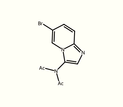 CC(=O)N(C(C)=O)c1cnc2ccc(Br)cn12